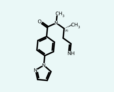 C[C@H](CC=N)N(C)C(=O)c1ccc(-n2cccn2)cc1